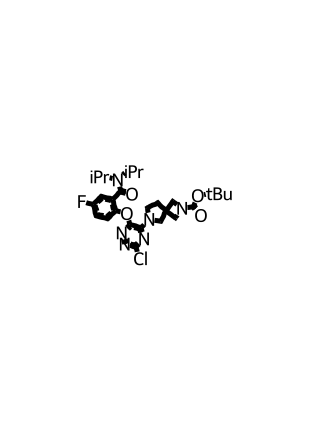 CC(C)N(C(=O)c1cc(F)ccc1Oc1nnc(Cl)nc1N1CCC2(CN(C(=O)OC(C)(C)C)C2)C1)C(C)C